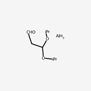 CC(C)OC(CC=O)OC(C)C.[AlH3]